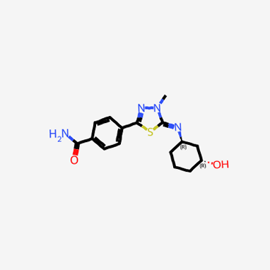 Cn1nc(-c2ccc(C(N)=O)cc2)sc1=N[C@@H]1CCC[C@@H](O)C1